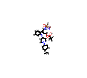 CC(C)[C@H]1CC[C@@H](N2CCC(n3c(COC(=O)C(C)(C)C)c(CNS(C)(=O)=O)c4ccccc43)CC2)CC1